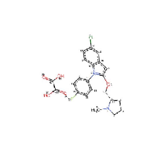 CN1CCC[C@H]1COc1cc2cc(Cl)ccc2n1-c1ccc(F)cc1.O=C(O)C(=O)O